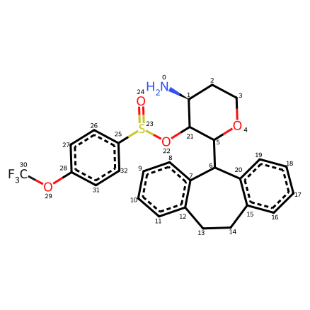 N[C@H]1CCOC(C2c3ccccc3CCc3ccccc32)C1OS(=O)c1ccc(OC(F)(F)F)cc1